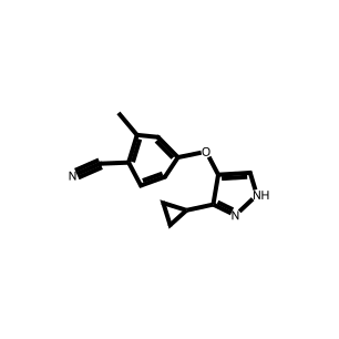 Cc1cc(Oc2c[nH]nc2C2CC2)ccc1C#N